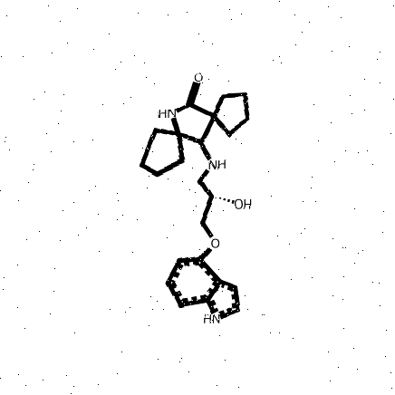 O=C1NC2(CCCC2)C(NC[C@H](O)COc2cccc3[nH]ccc23)C12CCCC2